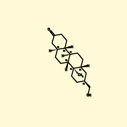 C[C@@]12CC[C@H](CO)C[C@H]1CC[C@@H]1[C@H]3CCC(=O)C[C@@H]3CC[C@H]12